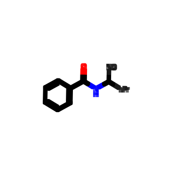 CCCC(N=O)NC(=O)c1ccccc1